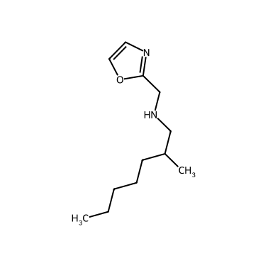 CCCCCC(C)CNCc1ncco1